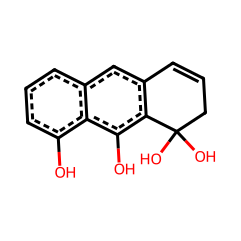 Oc1cccc2cc3c(c(O)c12)C(O)(O)CC=C3